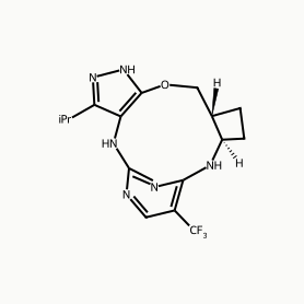 CC(C)c1n[nH]c2c1Nc1ncc(C(F)(F)F)c(n1)N[C@@H]1CC[C@H]1CO2